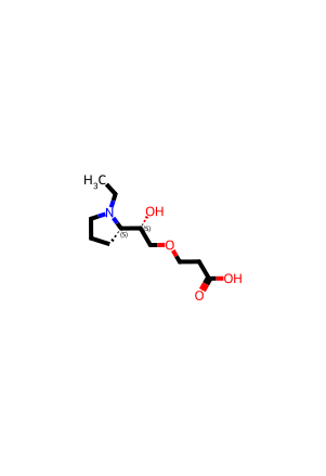 CCN1CCC[C@H]1[C@H](O)COCCC(=O)O